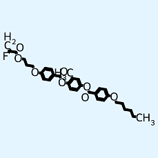 C=C(F)C(=O)OCCCOc1ccc(C(=O)Oc2ccc(OC(=O)c3ccc(OCCCCCC)cc3)cc2C)cc1